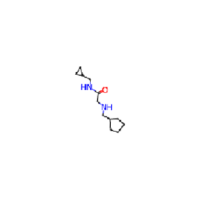 O=C(CNCC1CCCC1)NCC1CC1